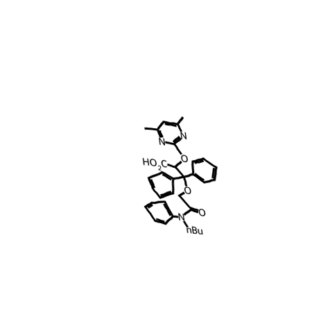 CCCCN(C(=O)COC(c1ccccc1)(c1ccccc1)C(Oc1nc(C)cc(C)n1)C(=O)O)c1ccccc1